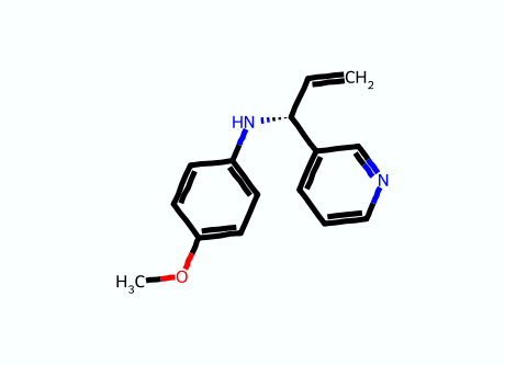 C=C[C@@H](Nc1ccc(OC)cc1)c1cccnc1